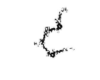 C=COCCCCOC(=O)c1cccc(C(=O)OCCCCOC(C)OC(=O)CCCCC(=O)OC(C)OCCCCOC(=O)c2cccc(C(=O)OCCCCOC=C)c2)c1